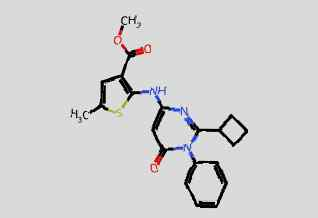 COC(=O)c1cc(C)sc1Nc1cc(=O)n(-c2ccccc2)c(C2CCC2)n1